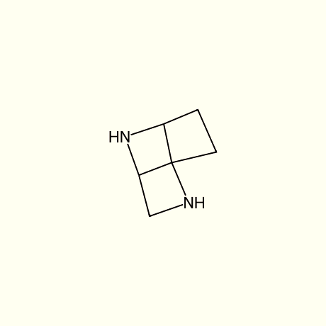 C1CC23NCC2NC13